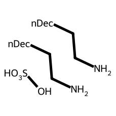 CCCCCCCCCCCCN.CCCCCCCCCCCCN.O=S(=O)(O)O